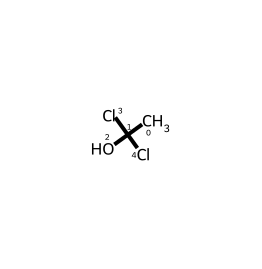 CC(O)(Cl)Cl